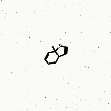 CC12C=CC=CC1C#CS2